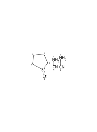 CC[S+]1CCCC1.N#CN.N#CN